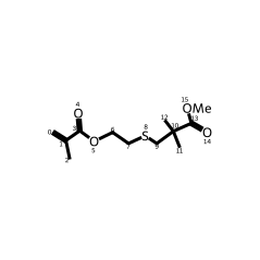 C=C(C)C(=O)OCCSCC(C)(C)C(=O)OC